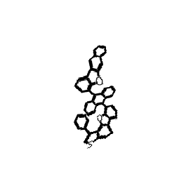 c1ccc(-c2csc3ccc4c5cccc(-c6c7ccccc7c(-c7cccc8c7oc7cc9ccccc9cc78)c7ccccc67)c5oc4c23)cc1